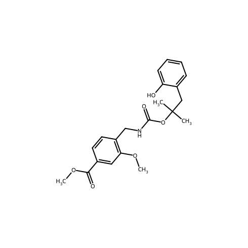 COC(=O)c1ccc(CNC(=O)OC(C)(C)Cc2ccccc2O)c(OC)c1